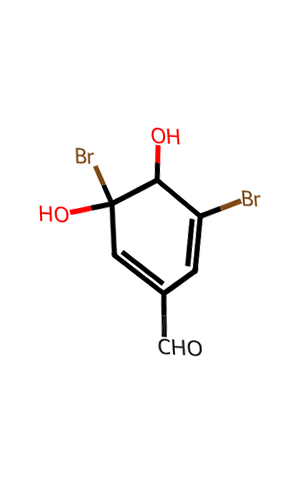 O=CC1=CC(O)(Br)C(O)C(Br)=C1